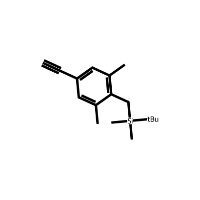 C#Cc1cc(C)c(C[Si](C)(C)C(C)(C)C)c(C)c1